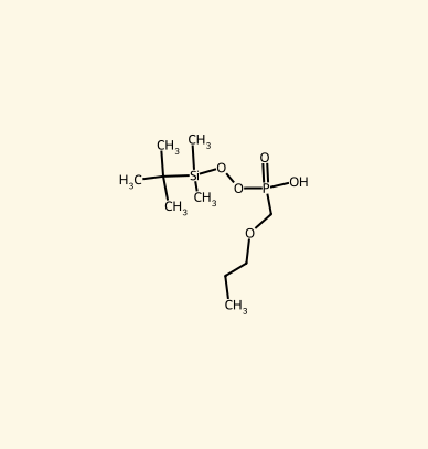 CCCOCP(=O)(O)OO[Si](C)(C)C(C)(C)C